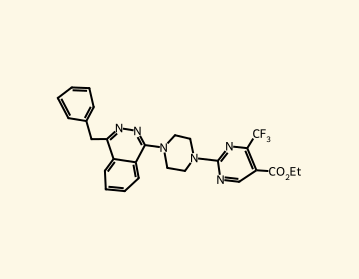 CCOC(=O)c1cnc(N2CCN(c3nnc(Cc4ccccc4)c4ccccc34)CC2)nc1C(F)(F)F